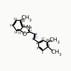 Cc1ccc(/C=C/c2nc3c(C)cccc3o2)cc1C